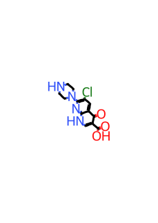 O=C(O)c1c[nH]c2nc(N3CCNCC3)c(Cl)cc2c1=O